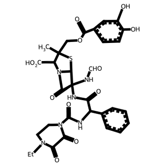 CCN1CCN(C(=O)NC(C(=O)NC2(NC=O)C(=O)N3C(C(=O)O)C(C)(COC(=O)c4ccc(O)c(O)c4)SC32)c2ccccc2)C(=O)C1=O